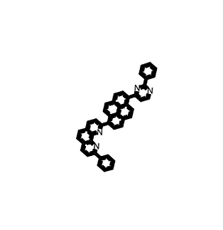 c1ccc(-c2ccc3ccc4ccc(-c5ccc6ccc7c(-c8ccnc(-c9ccccc9)n8)ccc8ccc5c6c87)nc4c3n2)cc1